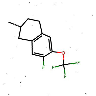 CC1CCc2cc(OC(F)(F)F)c(F)cc2C1